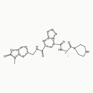 C[C@H](NC(=O)c1cc(C(=O)NCc2ccc3oc(=O)n(C)c3c2)nc2ccnn12)C(=O)N1CCNCC1